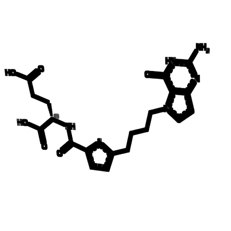 Nc1nc2ccn(CCCCc3ccc(C(=O)N[C@@H](CCC(=O)O)C(=O)O)s3)c2c(=O)[nH]1